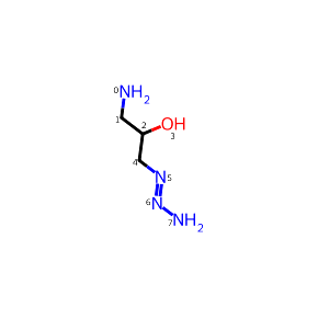 NCC(O)CN=NN